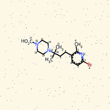 Cc1nc(Br)ccc1CCC(C)(C)N1CCN(C(=O)O)CC1